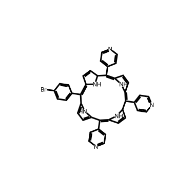 Brc1ccc(/C2=C3\C=CC(N3)/C(c3ccncc3)=c3/cc/c([nH]3)=C(\c3ccncc3)C3C=C/C(=C(\c4ccncc4)c4ccc2[nH]4)N3)cc1